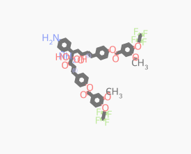 COc1cc(C(=O)Oc2ccc(/C=C/C(=O)CC(c3ccc(N)cc3N)C(O)(O)C(=O)/C=C/c3ccc(OC(=O)c4ccc(OC(F)(F)C(F)F)c(OC)c4)cc3)cc2)ccc1OC(F)(F)C(F)F